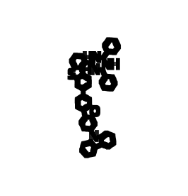 c1ccc(C2NC(c3ccccc3)NC(c3cccc4sc5cc(-c6ccc7c(c6)oc6cc(-n8c9ccccc9c9ccccc98)ccc67)ccc5c34)N2)cc1